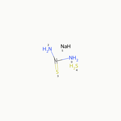 NC(N)=S.S.[NaH]